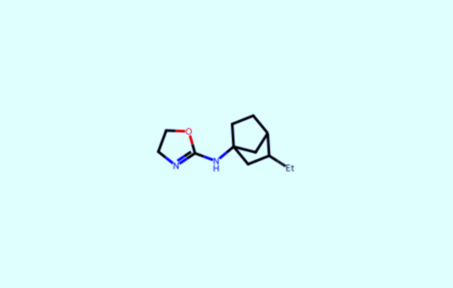 CCC1CC2(NC3=NCCO3)CCC1C2